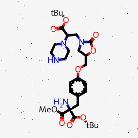 COC(=O)C(N)(Cc1ccc(OCC2CN(CC(C(=O)OC(C)(C)C)N3CCNCC3)C(=O)O2)cc1)C(=O)OC(C)(C)C